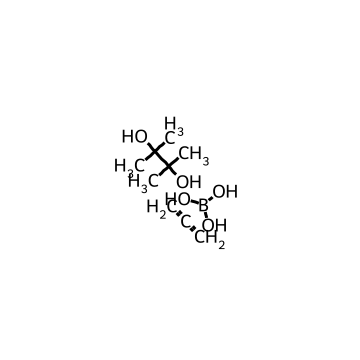 C=C=C.CC(C)(O)C(C)(C)O.OB(O)O